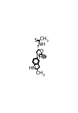 Br.CC(=S)NC[C@H]1CN(c2ccc3c(c2)C[C@@H](C)N3)C(=O)O1